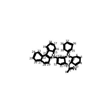 Cc1nc2cccc3c2n1-c1ccc(-n2c4ccccc4c4c5ccccc5ccc42)cc1N3c1ccccc1